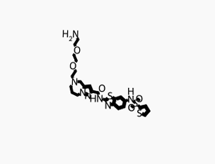 NCCOCCOCCN1CCCn2nc(C(=O)Nc3nc4ccc(NS(=O)(=O)c5cccs5)cc4s3)cc2C1